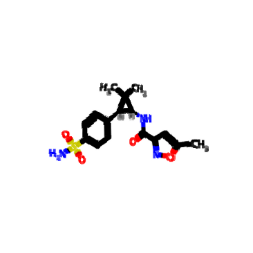 Cc1cc(C(=O)N[C@@H]2[C@@H](c3ccc(S(N)(=O)=O)cc3)C2(C)C)no1